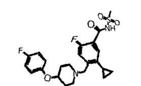 CS(=O)(=O)NC(=O)c1cc(C2CC2)c(CN2CCC(Oc3ccc(F)cc3)CC2)cc1F